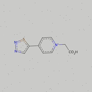 O=C(O)C[n+]1ccc(-c2cnns2)cc1